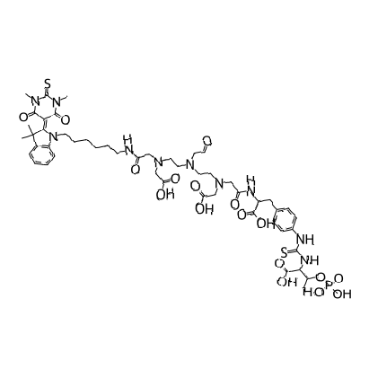 CC(OP(=O)(O)O)C(NC(=S)Nc1ccc(CC(NC(=O)CN(CCN(CC=O)CCN(CC(=O)O)CC(=O)NCCCCCCN2C(=C3C(=O)N(C)C(=S)N(C)C3=O)C(C)(C)c3ccccc32)CC(=O)O)C(=O)O)cc1)C(=O)O